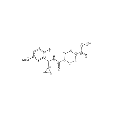 COc1ccc(Br)c(C(NC(=O)C2CCN(C(=O)OC(C)(C)C)CC2)C2CC2)c1